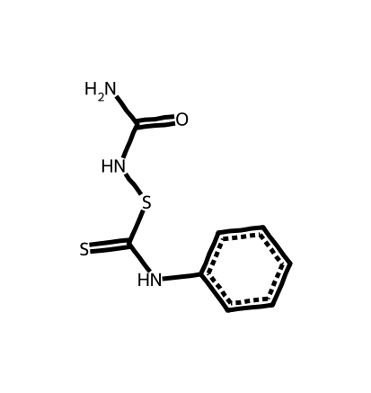 NC(=O)NSC(=S)Nc1ccccc1